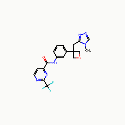 Cn1cnnc1CC1(c2cccc(NC(=O)c3ccnc(C(F)(F)F)n3)c2)COC1